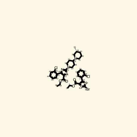 CCOC(=O)c1sc(Br)nc1-c1ccccc1Cl.CCOC(=O)c1sc(N2CCC(N3CCC[C@@H](C)C3)CC2)nc1-c1ccccc1Cl